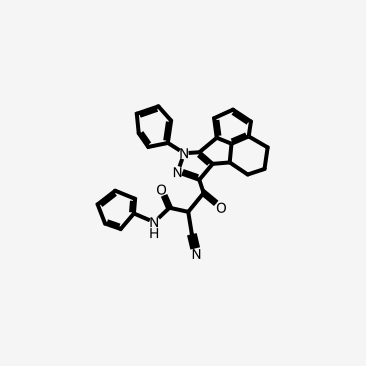 N#CC(C(=O)Nc1ccccc1)C(=O)c1nn(-c2ccccc2)c2c1C1CCCc3cccc-2c31